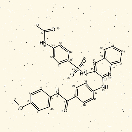 COc1ccc(NC(=O)c2ccc(Nc3nc4ccccc4nc3NS(=O)(=O)c3ccc(NC(C)=O)cc3)cc2)cc1